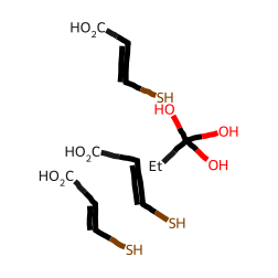 CCC(O)(O)O.O=C(O)C=CS.O=C(O)C=CS.O=C(O)C=CS